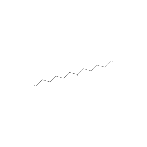 [CH2]CCCC[CH]CCCCC[CH2]